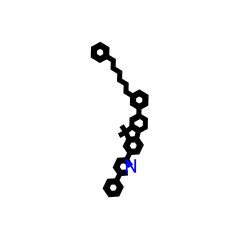 CC1(C)C2=C(CCC(c3cccc(CCCCCCc4ccccc4)c3)=C2)c2ccc(-c3ccc(-c4ccccc4)cn3)cc21